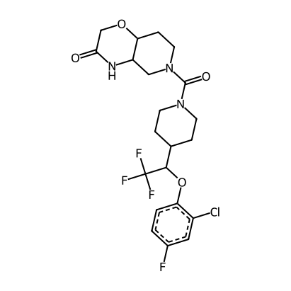 O=C1COC2CCN(C(=O)N3CCC(C(Oc4ccc(F)cc4Cl)C(F)(F)F)CC3)CC2N1